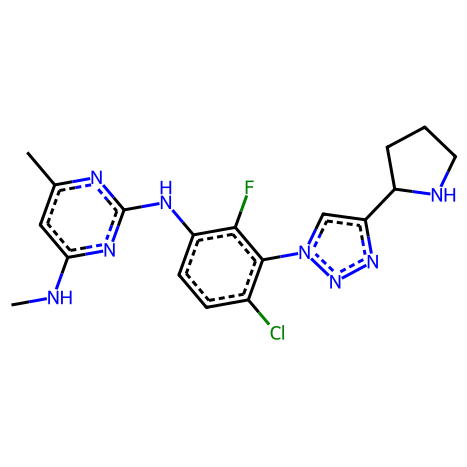 CNc1cc(C)nc(Nc2ccc(Cl)c(-n3cc(C4CCCN4)nn3)c2F)n1